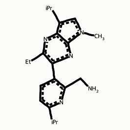 CCc1nc2c(C(C)C)cn(C)c2nc1-c1ccc(C(C)C)nc1CN